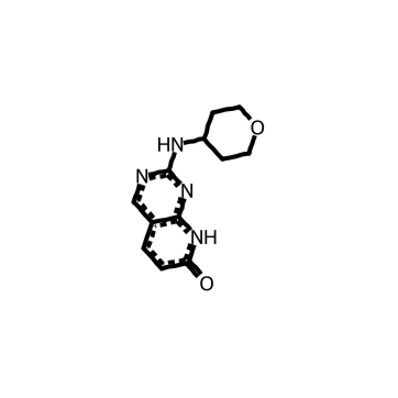 O=c1ccc2cnc(NC3CCOCC3)nc2[nH]1